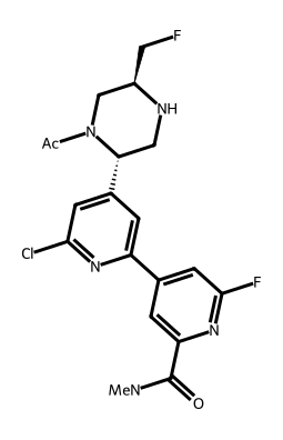 CNC(=O)c1cc(-c2cc([C@H]3CN[C@H](CF)CN3C(C)=O)cc(Cl)n2)cc(F)n1